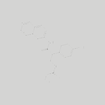 CC(C)(C)OC(=O)NCC(C(=O)Nc1ccc2cnccc2c1)C1=CC=C(O)CC1